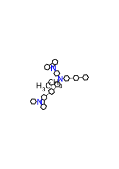 CC1(C)c2cc(-c3ccc4c(c3)c3ccccc3n4-c3ccccc3)ccc2-c2ccc(N(c3ccc(-c4ccc(-c5ccccc5)cc4)cc3)c3ccc(-n4c5ccccc5c5ccccc54)cc3)cc21